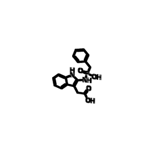 O=C(O)Cc1c(NP(=O)(O)Cc2ccccc2)[nH]c2ccccc12